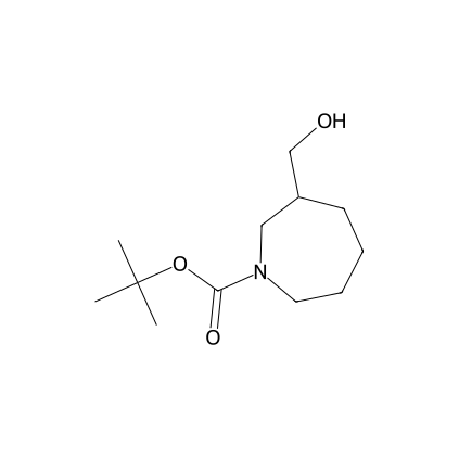 CC(C)(C)OC(=O)N1CCCCC(CO)C1